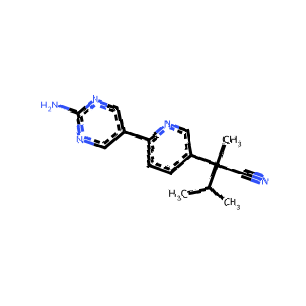 CC(C)C(C)(C#N)c1ccc(-c2cnc(N)nc2)nc1